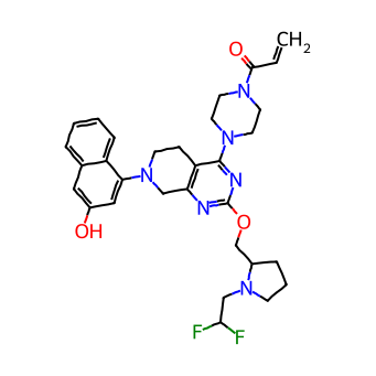 C=CC(=O)N1CCN(c2nc(OCC3CCCN3CC(F)F)nc3c2CCN(c2cc(O)cc4ccccc24)C3)CC1